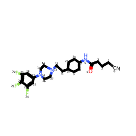 N#CCCCC(=O)NC1CCC(CCN2CCN(c3cc(F)c(F)c(F)c3)CC2)CC1